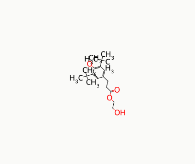 COc1c(C(C)(C)C)cc(CCC(=O)OCCO)cc1C(C)(C)C